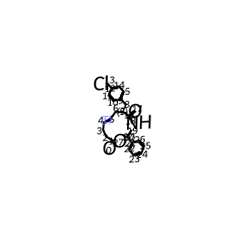 O=C1CC/C=C/C[C@@H](Cc2ccc(Cl)cc2)C(=O)NC[C@@H](c2ccccc2)O1